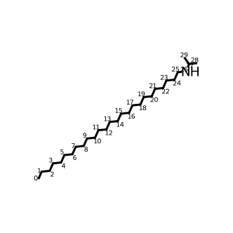 CCCCCCCCCCCCCCCCCCCCCCCCCCNC(C)C